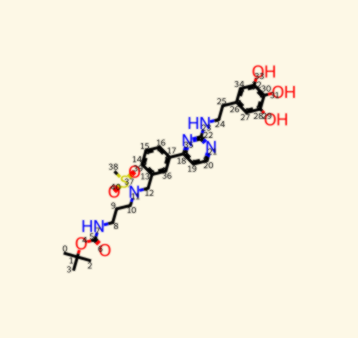 CC(C)(C)OC(=O)NCCCN(Cc1cccc(-c2ccnc(NCCc3cc(O)c(O)c(O)c3)n2)c1)S(C)(=O)=O